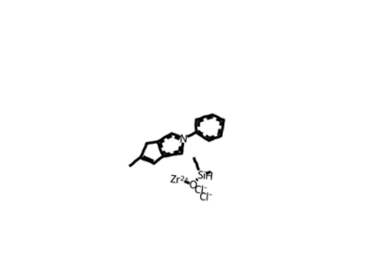 CC1=Cc2cn(-c3ccccc3)cc2C1.C[SiH](C)[O][Zr+2].[Cl-].[Cl-]